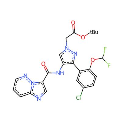 CC(C)(C)OC(=O)Cn1cc(NC(=O)c2cnc3cccnn23)c(-c2cc(Cl)ccc2OC(F)F)n1